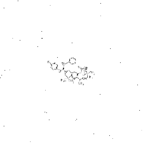 CC(C)c1nc2c(cc1[C@@H](OC(C)(C)C)C(=O)O)CN(C(Oc1ccc(F)cc1)=C1CC1c1ccccc1)CC2(C)C